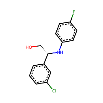 OC[C@H](Nc1ccc(F)cc1)c1cccc(Cl)c1